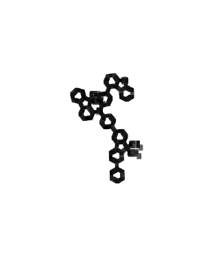 CC1(C)c2ccc(-c3ccc(N(c4ccc(-c5cccc6oc7ccccc7c56)cc4)c4cccc5c4C(C)(C)c4ccccc4-5)cc3)cc2-c2ccc(-c3ccccc3)cc21